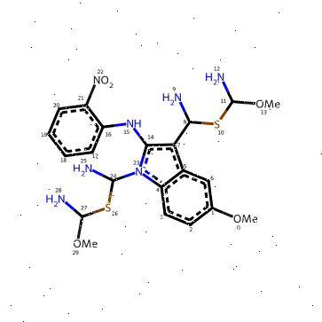 COc1ccc2c(c1)c(C(N)SC(N)OC)c(Nc1ccccc1[N+](=O)[O-])n2C(N)SC(N)OC